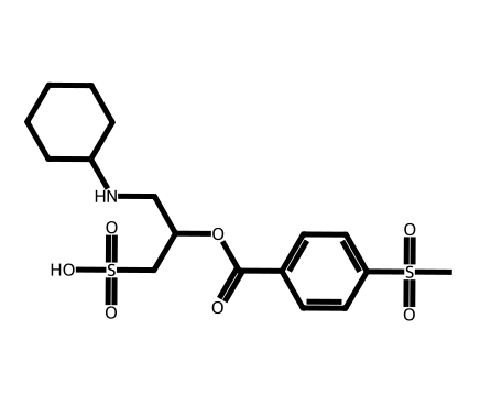 CS(=O)(=O)c1ccc(C(=O)OC(CNC2CCCCC2)CS(=O)(=O)O)cc1